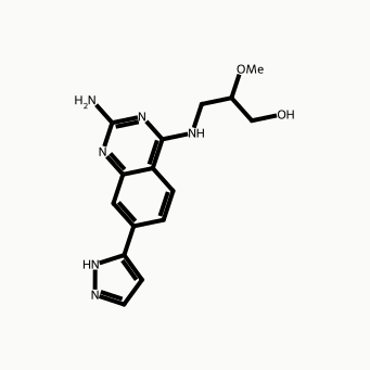 COC(CO)CNc1nc(N)nc2cc(-c3ccn[nH]3)ccc12